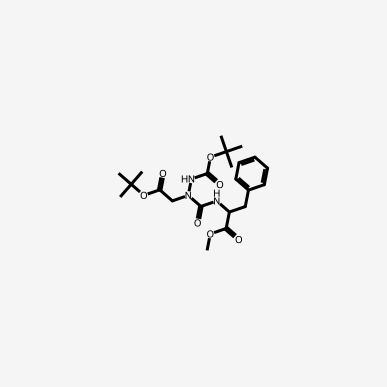 COC(=O)C(Cc1ccccc1)NC(=O)N(CC(=O)OC(C)(C)C)NC(=O)OC(C)(C)C